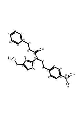 CCc1csc(N(CCc2ccc([N+](=O)[O-])cc2)C(=O)[CH]Cc2ccccc2)n1